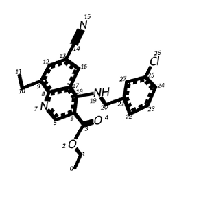 CCOC(=O)c1cnc2c(CC)cc(C#N)cc2c1NCc1cccc(Cl)c1